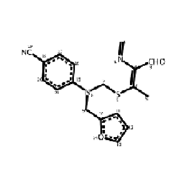 C=N/C(C=O)=C(/C)SCN(Cc1ccco1)c1ccc(C#N)cc1